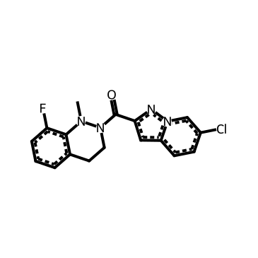 CN1c2c(F)cccc2CCN1C(=O)c1cc2ccc(Cl)cn2n1